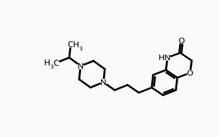 CC(C)N1CCN(CCCc2ccc3c(c2)NC(=O)CO3)CC1